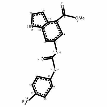 COC(=O)c1cc(NC(=O)Nc2ccc(C(F)(F)F)cc2)cc2[nH]ccc12